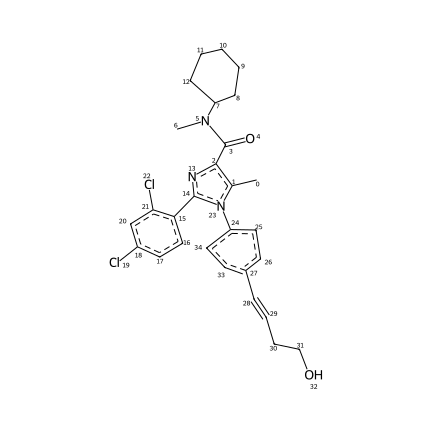 Cc1c(C(=O)N(C)C2CCCCC2)nc(-c2ccc(Cl)cc2Cl)n1-c1ccc(C#CCCO)cc1